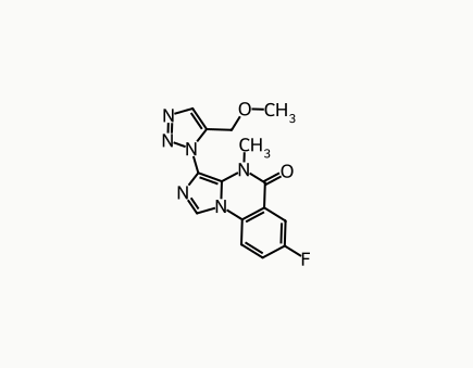 COCc1cnnn1-c1ncn2c3ccc(F)cc3c(=O)n(C)c12